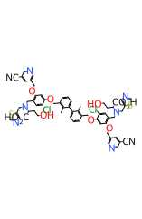 Cc1c(COc2cc(OCc3cncc(C#N)c3)c(CN(Cc3cncs3)C(CCO)C(=O)O)cc2Cl)cccc1-c1cccc(COc2cc(OCc3cncc(C#N)c3)c(CN(Cc3cncs3)C(CCO)C(=O)O)cc2Cl)c1C